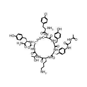 CC(=O)NCC(=O)Nc1ccc(C[C@H]2NC(=O)[C@H](Cc3ccc(O)cc3)NC(=O)[C@H](NC(=O)[C@@H](N)Cc3ccc(Cl)cc3)CSSC[C@@H](C(=O)N[C@H](Cc3ccc(O)cc3)C(N)=O)NC(=O)C(C(C)O)NC(=O)[C@H](CCCCN)NC2=O)cc1